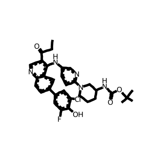 CCC(=O)c1cnc2ccc(-c3cc(F)c(O)c(Cl)c3)cc2c1Nc1ccc(N2CCCC(NC(=O)OC(C)(C)C)C2)nc1